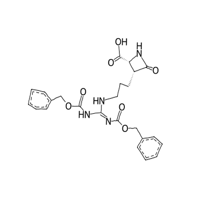 O=C(/N=C(\NCCC[C@H]1C(=O)N[C@H]1C(=O)O)NC(=O)OCc1ccccc1)OCc1ccccc1